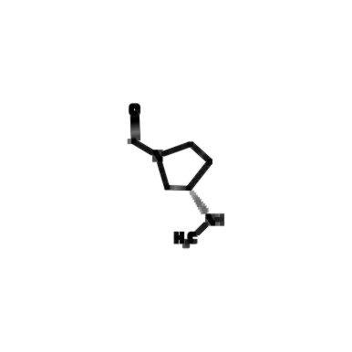 CN[C@H]1CCN([C]=O)C1